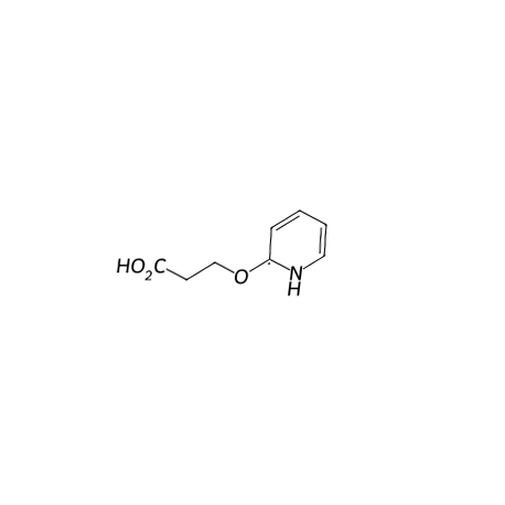 O=C(O)CCO[C]1C=CC=CN1